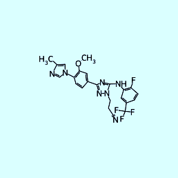 COc1cc(-c2nc(Nc3cc(C(F)(F)F)ccc3F)n(CCC#N)n2)ccc1-n1cnc(C)c1